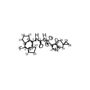 O=C(Nc1c2c(c(F)c3c1CCC3)CCC2)NS(=O)(=O)c1cnn2c1OCC1(CC1)C2